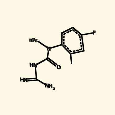 CCCN(C(=O)NC(=N)N)c1ccc(F)cc1C